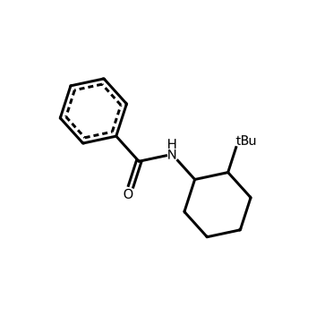 CC(C)(C)C1CCCCC1NC(=O)c1ccccc1